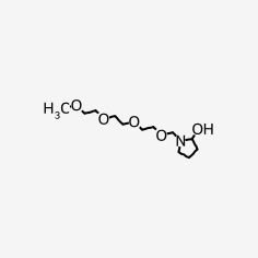 COCCOCCOCCOCN1CCCC1O